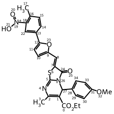 CCOC(=O)C1=C(C)N=c2s/c(=C\c3ccc(-c4ccc(C)c([N+](=O)O)c4)o3)c(=O)n2C1c1ccc(OC)cc1